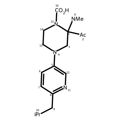 CNC1(C(C)=O)CN(c2ccc(CC(C)C)nc2)CCN1C(=O)O